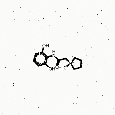 C[N+]1(CC(=O)Nc2c(O)cccc2O)CCCC1